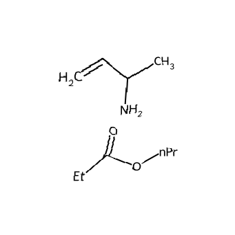 C=CC(C)N.CCCOC(=O)CC